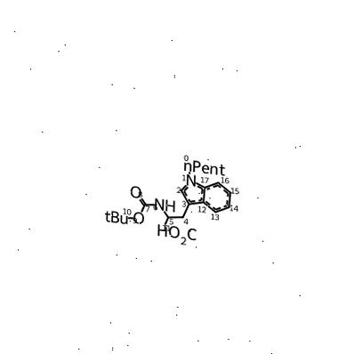 CCCCCn1cc(CC(NC(=O)OC(C)(C)C)C(=O)O)c2ccccc21